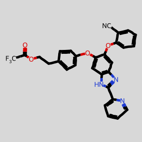 N#Cc1ccccc1Oc1cc2nc(-c3ccccn3)[nH]c2cc1Oc1ccc(CCOC(=O)C(F)(F)F)cc1